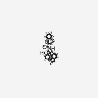 O=C(NCC1(C2(O)CCCC2)Cc2ccc3ccoc3c21)[C@H]1COc2ccccc2O1